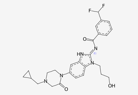 O=C(/N=c1\[nH]c2cc(N3CCN(CC4CC4)CC3=O)ccc2n1CCCO)c1cccc(C(F)F)c1